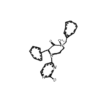 C[N+]1(Cc2ccccc2)CCN(c2ccnc(Cl)n2)C(c2ccccc2)C1=O